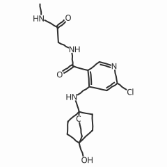 CNC(=O)CNC(=O)c1cnc(Cl)cc1NC12CCC(O)(CC1)CC2